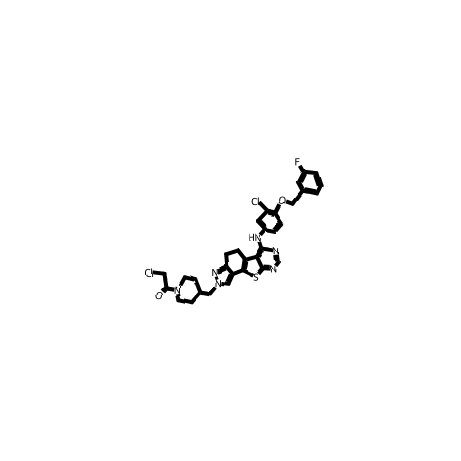 O=C(CCl)N1CCC(Cn2cc3c(n2)CCc2c-3sc3ncnc(Nc4ccc(OCc5cccc(F)c5)c(Cl)c4)c23)CC1